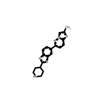 Cc1cn2nc(-c3ccc4nc(C5CCNCC5)sc4c3)ccc2n1